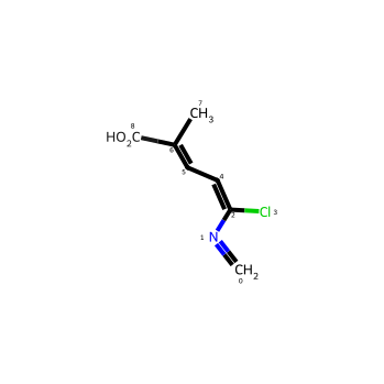 C=N/C(Cl)=C\C=C(/C)C(=O)O